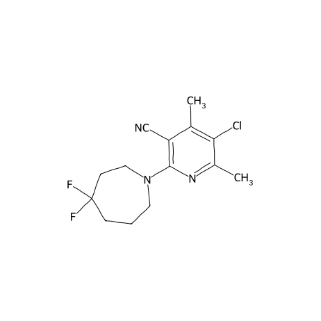 Cc1nc(N2CCCC(F)(F)CC2)c(C#N)c(C)c1Cl